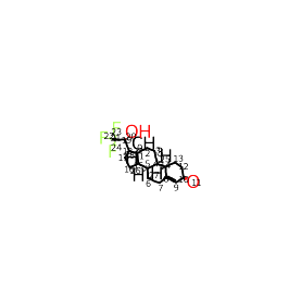 C[C@]12CC[C@H]3[C@@H](CCC4=CC(=O)CC[C@@H]43)[C@H]1CC[C@H]2[C@H](O)C(F)(F)F